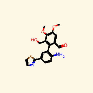 COc1cc(C=O)c(-c2cc(-c3nccs3)ccc2N)c(CO)c1OC